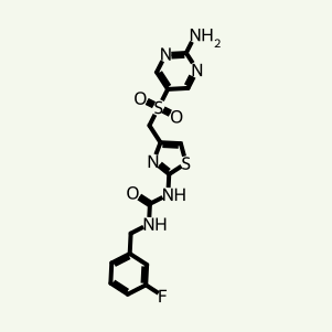 Nc1ncc(S(=O)(=O)Cc2csc(NC(=O)NCc3cccc(F)c3)n2)cn1